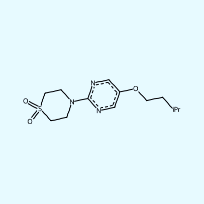 CC(C)CCOc1cnc(N2CCS(=O)(=O)CC2)nc1